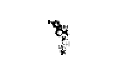 CC(C)C1c2[nH]c3ccc(F)cc3c2CCN1C(=O)CNC(=O)OC(C)(C)C